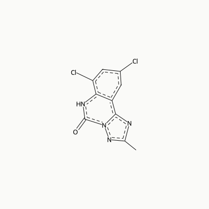 Cc1nc2c3cc(Cl)cc(Cl)c3[nH]c(=O)n2n1